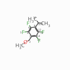 COCc1c(F)c(F)c(C(C)C)c(F)c1F